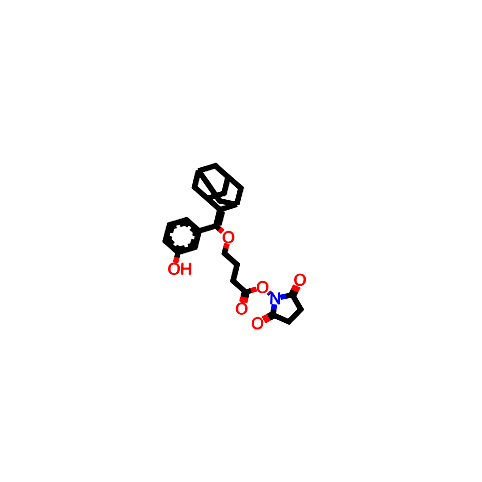 O=C(CCCOC(=C1C2CC3CC(C2)CC1C3)c1cccc(O)c1)ON1C(=O)CCC1=O